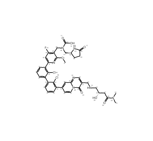 COc1nc(-c2cccc(-c3cccc(-c4ccn5c(=O)c(CNC[C@@H](O)CC(=O)N(C)C)cnc5c4)c3Cl)c2Cl)cc(F)c1CN(C[C@@H]1CCC(=O)N1)C(=O)O